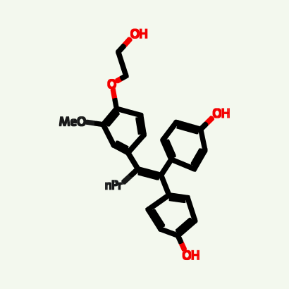 CCCC(=C(c1ccc(O)cc1)c1ccc(O)cc1)c1ccc(OCCO)c(OC)c1